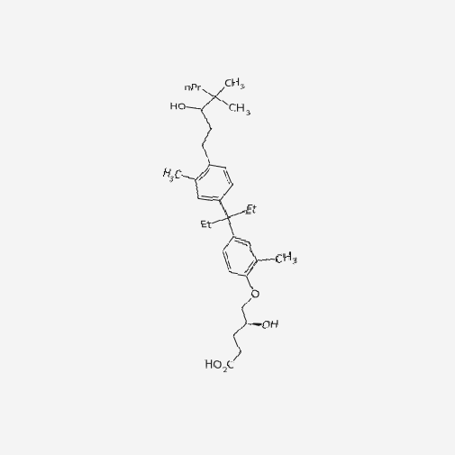 CCCC(C)(C)C(O)CCc1ccc(C(CC)(CC)c2ccc(OC[C@@H](O)CCC(=O)O)c(C)c2)cc1C